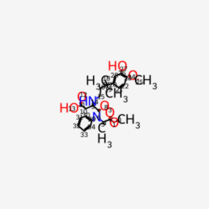 COC(=O)C(C)N(C(=O)C(CC(=O)O)NCCC(C)(C)c1ccc(OC)c(O)c1)c1ccccc1